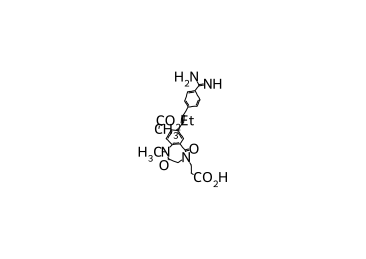 CCOC(C)=O.CN1C(=O)CN(CCC(=O)O)C(=O)c2cc(C#Cc3ccc(C(=N)N)cc3)ccc21